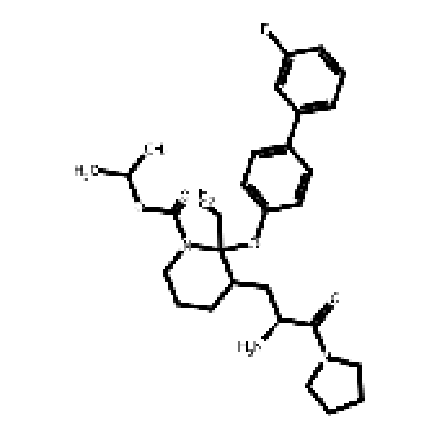 CCC1(Oc2ccc(-c3cccc(F)c3)cc2)C(C[C@H](N)C(=O)N2CCCC2)CCCN1C(=O)OC(C)C